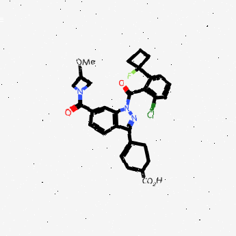 COC1CN(C(=O)c2ccc3c(C4=CCC(C(=O)O)CC4)nn(C(=O)c4c(Cl)cccc4C4(F)CCC4)c3c2)C1